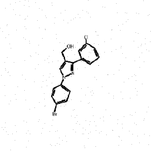 OCc1cn(-c2ccc(Br)cc2)nc1-c1cccc(Cl)c1